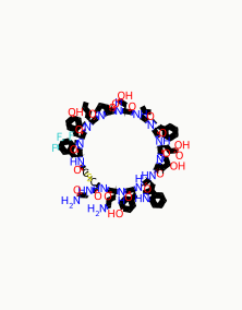 CCCC[C@H]1C(=O)N2CCC[C@@H]2C(=O)N[C@@H](CC(=O)O)C(=O)N[C@@H](C(C)C)C(=O)N(C)[C@@H](Cc2ccccc2)C(=O)N[C@@H](CCC(=O)O)C(=O)N2C[C@H](O)C[C@@H]2C(=O)N[C@@H](Cc2c[nH]c3ccccc23)C(=O)N[C@@H](Cc2ccc(O)cc2)C(=O)N[C@@H](CCCN)C(=O)N[C@H](C(=O)NCC(N)=O)CSCC(=O)N[C@@H](Cc2cc(F)c(F)c(F)c2)C(=O)N(C)[C@@H](Cc2ccc(O)cc2)C(=O)N1C